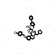 O=C(N[C@@H](Cc1ccc(-c2ccccc2)cc1)C(=O)O)C1c2cc(OCc3ccc(Cl)cc3)ccc2CCN1C(=O)CC1CCCC1